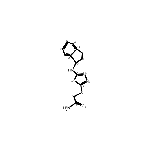 NC(=O)CSc1nnc(NC2CCc3ccccc32)s1